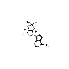 Cc1ncnc2c1ccn2[C@@H]1O[C@H](C)[C@H]2OC(C)(C)O[C@H]21